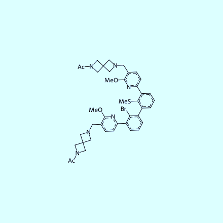 COc1nc(-c2cccc(-c3cccc(-c4ccc(CN5CC6(C5)CN(C(C)=O)C6)c(OC)n4)c3SC)c2Br)ccc1CN1CC2(C1)CN(C(C)=O)C2